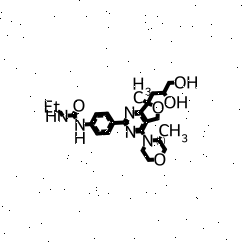 CCNC(=O)Nc1ccc(-c2nc(N3CCOC[C@@H]3C)c3c(n2)C(C)(CC(O)CO)OC3)cc1